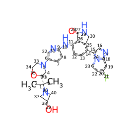 CC(C)([C@H]1CN(c2ccc(Nc3ccc(-c4cnc5cc(F)ccn45)c4c3C(=O)NC4)nc2)CCO1)N1CC(O)C1